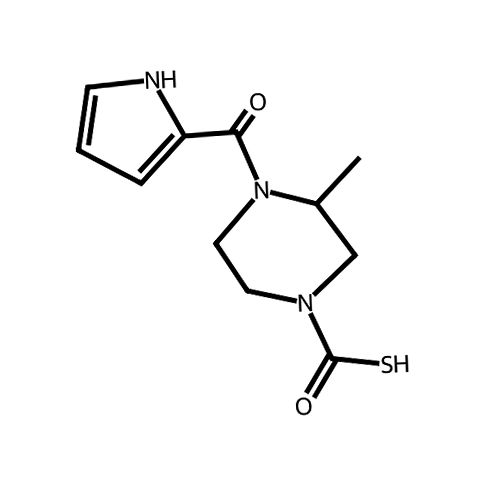 CC1CN(C(=O)S)CCN1C(=O)c1ccc[nH]1